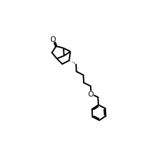 O=C1CC2C[C@@H](CCCCCOCc3ccccc3)C3C1C23